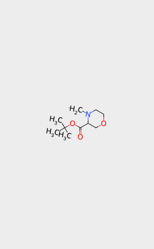 [CH2]N1CCOCC1C(=O)OC(C)(C)C